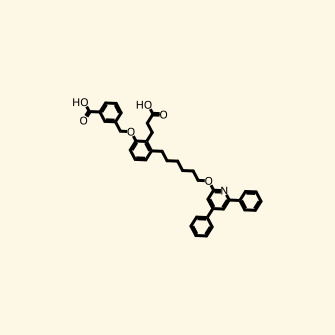 O=C(O)CCc1c(CCCCCCOc2cc(-c3ccccc3)cc(-c3ccccc3)n2)cccc1OCc1cccc(C(=O)O)c1